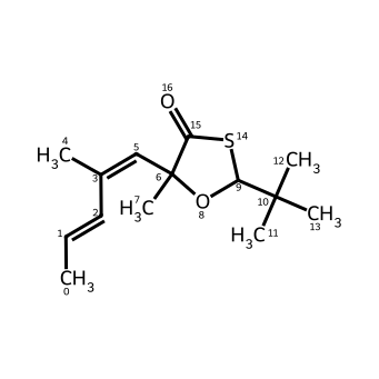 CC=CC(C)=CC1(C)OC(C(C)(C)C)SC1=O